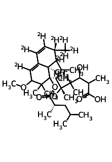 [2H]C1=C([2H])[C@]([2H])(C([2H])([2H])[2H])[C@]([2H])(C(C)C[C@@](C)(O)C(C)(C)[C@@H](O)C(C)C(=O)O)[C@]2(C)C1=C([2H])C(OC)C(C)(C)[C@]2(C)OC(=O)[C@@H](C)CC(C)C